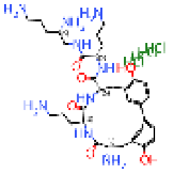 Cl.Cl.Cl.Cl.NCCC[C@H](N)CNC(=O)[C@H](CCCN)NC(=O)[C@@H]1Cc2cc(ccc2O)-c2ccc(O)c(c2)C[C@H](N)C(=O)N[C@@H](CCCN)C(=O)N1